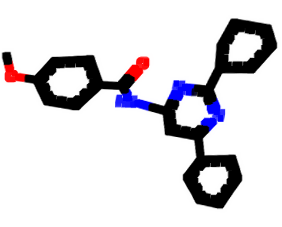 COc1ccc(C(=O)Nc2cc(-c3ccccc3)nc(-c3ccccc3)n2)cc1